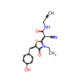 C#CCNC(=O)/C(C#N)=c1\sc(=Cc2ccc(O)cc2)c(=O)n1CC